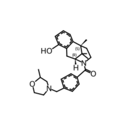 CC1CN(Cc2ccc(C(=O)N3CC[C@@]4(C)c5cccc(O)c5C[C@@H]3C4(C)C)cc2)CCO1